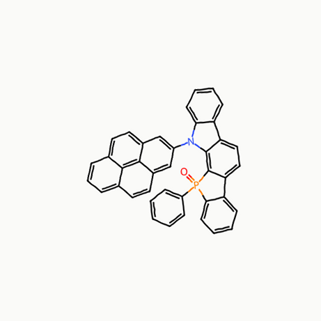 O=P1(c2ccccc2)c2ccccc2-c2ccc3c4ccccc4n(-c4cc5ccc6cccc7ccc(c4)c5c67)c3c21